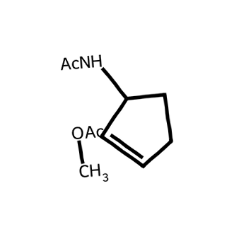 CC(=O)NC1C=CCC1.COC(C)=O